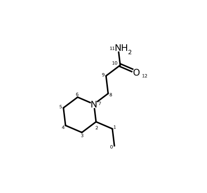 CCC1CCCCN1CCC(N)=O